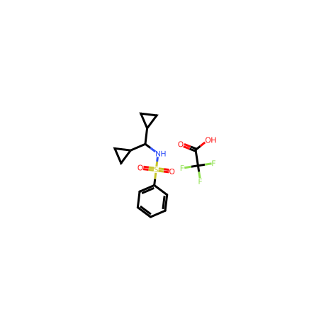 O=C(O)C(F)(F)F.O=S(=O)(NC(C1CC1)C1CC1)c1ccccc1